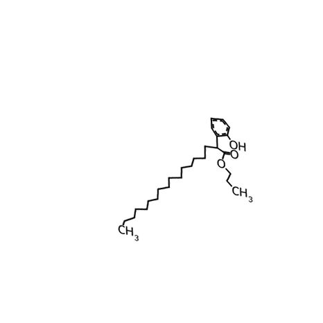 CCCCCCCCCCCCCCCCC(C(=O)OCCC)c1ccccc1O